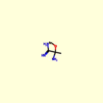 CC(=O)OC(C)(N)C(=N)N